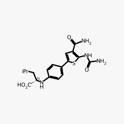 CC(C)C[C@H](Nc1ccc(-c2cc(C(N)=O)c(NC(N)=O)s2)cc1)C(=O)O